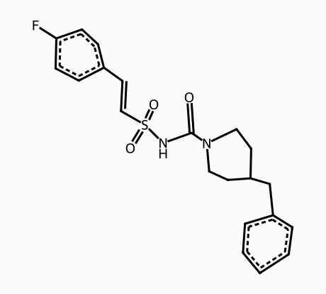 O=C(NS(=O)(=O)C=Cc1ccc(F)cc1)N1CCC(Cc2ccccc2)CC1